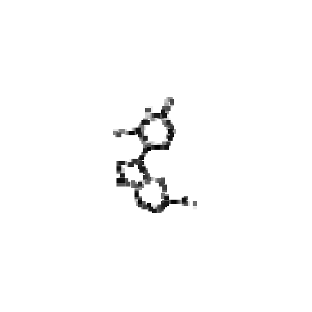 Cc1ccc2occ(-n3ccc(=O)[nH]c3=O)c2c1